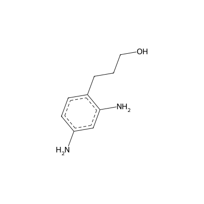 Nc1ccc(CCCO)c(N)c1